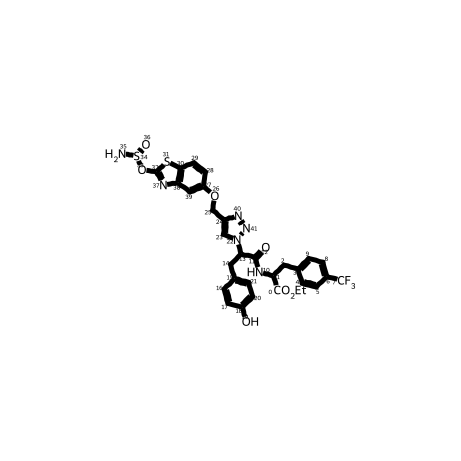 CCOC(=O)C(Cc1ccc(C(F)(F)F)cc1)NC(=O)C(Cc1ccc(O)cc1)n1cc(COc2ccc3sc(OS(N)=O)nc3c2)nn1